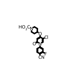 N#Cc1ccc(-n2cc(Cl)c(OC3CCN(C(=O)O)CC3)cc2=O)cc1F